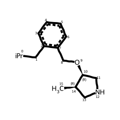 CC(C)Cc1ccccc1CO[C@H]1CNC[C@H]1C